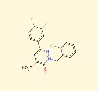 Cc1cc(-c2cc(C(=O)O)c(=O)n(Cc3ccccc3Cl)n2)ccc1F